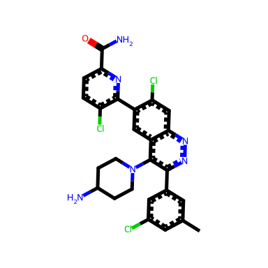 Cc1cc(Cl)cc(-c2nnc3cc(Cl)c(-c4nc(C(N)=O)ccc4Cl)cc3c2N2CCC(N)CC2)c1